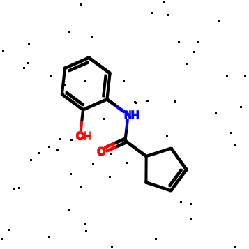 O=C(Nc1ccccc1O)C1CC=CC1